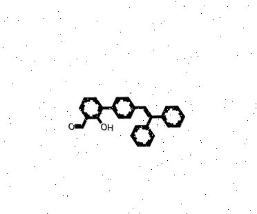 O=Cc1cccc(-c2ccc(C=C(c3ccccc3)c3ccccc3)cc2)c1O